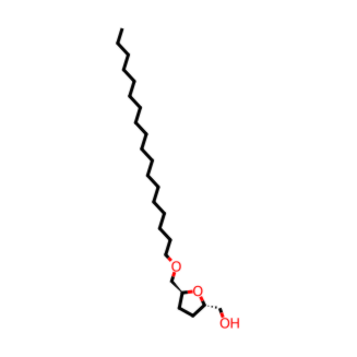 CCCCCCCCCCCCCCCCCCOC[C@@H]1CC[C@@H](CO)O1